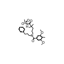 COc1cc(C(=O)N(CCCc2ccccc2)CCCC(C)(C)C(=O)NS(C)(=O)=O)cc(OC)c1C